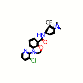 CN(C)c1ccc(NC(=O)c2cccc3c2OCCN3c2ncccc2Cl)cc1C(F)(F)F